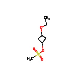 CCOC1CC(OS(C)(=O)=O)C1